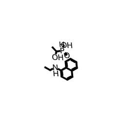 CC(O)[PH](=O)O.CCNc1cccc2ccccc12